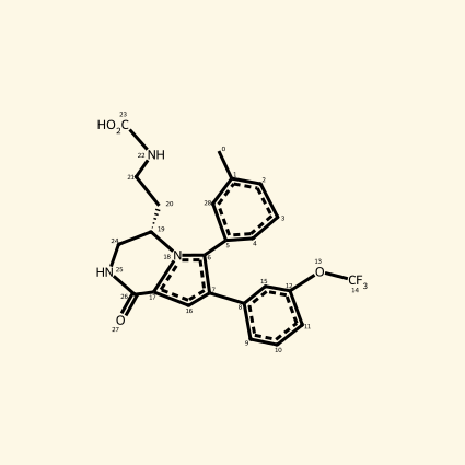 Cc1cccc(-c2c(-c3cccc(OC(F)(F)F)c3)cc3n2[C@@H](CCNC(=O)O)CNC3=O)c1